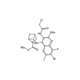 CSc1nc2c(F)c(Br)c(I)cc2c(NC2C3CC2N(C(=O)OC(C)(C)C)C3)c1NC(=O)CCl